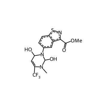 COC(=O)c1nsc2ccc(N3C(O)C=C(C(F)(F)F)N(C)C3O)cc12